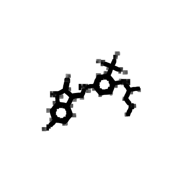 COCC(C)Nc1ccc(NC=C2C(=O)Nc3cc(F)ccc32)cc1C(F)(F)F